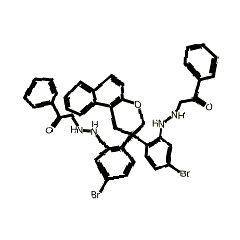 O=C(CNNc1cc(Br)ccc1C1(c2ccc(Br)cc2NNCC(=O)c2ccccc2)COc2ccc3ccccc3c2C1)c1ccccc1